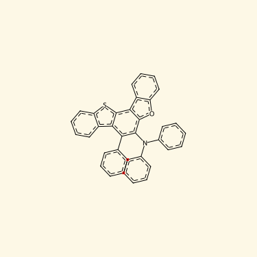 c1ccc(-c2c(N(c3ccccc3)c3ccccc3)c3oc4ccccc4c3c3sc4ccccc4c23)cc1